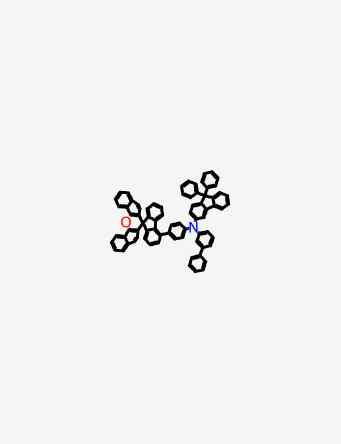 c1ccc(-c2cccc(N(c3ccc(-c4cccc5c4-c4ccccc4C54c5ccc6ccccc6c5Oc5c4ccc4ccccc54)cc3)c3ccc4c(c3)-c3ccccc3C4(c3ccccc3)c3ccccc3)c2)cc1